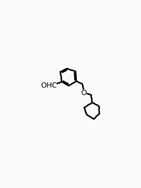 O=Cc1cccc(COCC2CCCCC2)c1